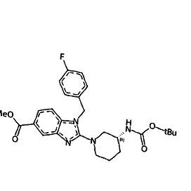 COC(=O)c1ccc2c(c1)nc(N1CCC[C@@H](NC(=O)OC(C)(C)C)C1)n2Cc1ccc(F)cc1